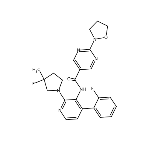 CC1(F)CCN(c2nccc(-c3ccccc3F)c2NC(=O)c2cnc(N3CCCO3)nc2)C1